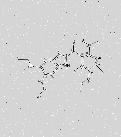 CCOc1cc2nc(C(=S)c3c(N(C)C)cc(C)c(OC)c3C)[nH]c2cc1OCC